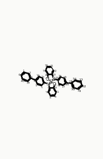 c1ccc(-c2ccc(N3c4ccccc4O[Si]34Oc3ccccc3N4c3ccc(-c4ccccc4)cc3)cc2)cc1